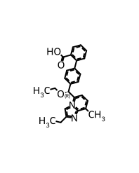 CCO[C@H](c1ccc(-c2ccccc2C(=O)O)cc1)c1ccc(C)c2nc(CC)cn12